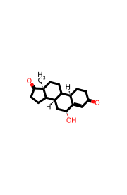 C[C@]12CCC3[C@@H](C[C@@H](O)C4=CC(=O)CC[C@@H]43)C1CCC2=O